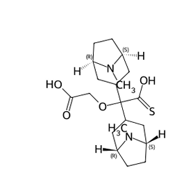 CN1[C@@H]2CC[C@H]1CC(C(OCC(=O)O)(C(O)=S)C1C[C@H]3CC[C@@H](C1)N3C)C2